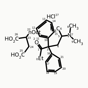 CCC(=O)C(CC(C)N(C)C)(c1ccccc1)c1ccccc1.CCCCCCCCC(CC(=O)O)C(=O)O.Cl